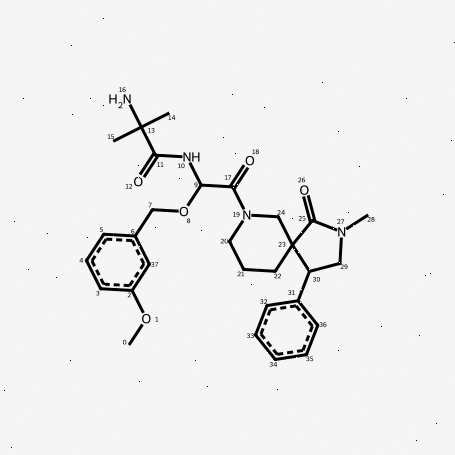 COc1cccc(COC(NC(=O)C(C)(C)N)C(=O)N2CCCC3(C2)C(=O)N(C)CC3c2ccccc2)c1